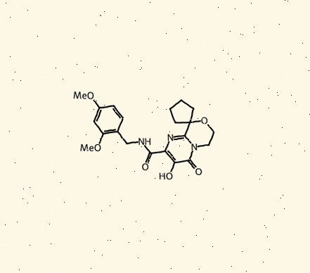 COc1ccc(CNC(=O)c2nc3n(c(=O)c2O)CCOC32CCCC2)c(OC)c1